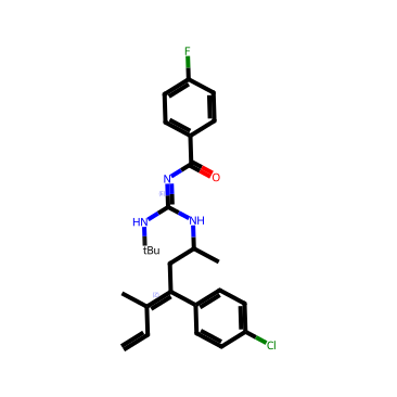 C=C/C(C)=C(/CC(C)N/C(=N\C(=O)c1ccc(F)cc1)NC(C)(C)C)c1ccc(Cl)cc1